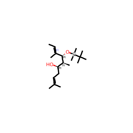 C/C=C(\C)[C@H](O[Si](C)(C)C(C)(C)C)[C@@H](C)[C@H](O)CC=C(C)C